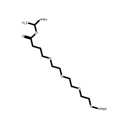 CCCCCCCOCCOCCOCCOCCCC(=O)OC(C)CCCCCC